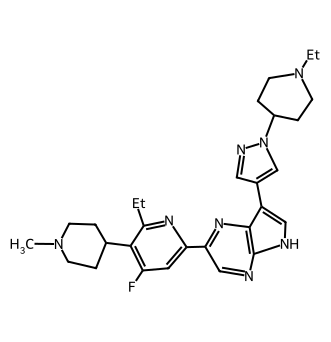 CCc1nc(-c2cnc3[nH]cc(-c4cnn(C5CCN(CC)CC5)c4)c3n2)cc(F)c1C1CCN(C)CC1